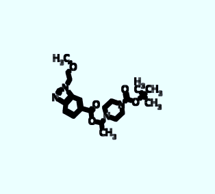 COCCn1cnc2ccc(C(=O)OC(C)N3CCN(C(=O)OC(C)(C)C)CC3)cc21